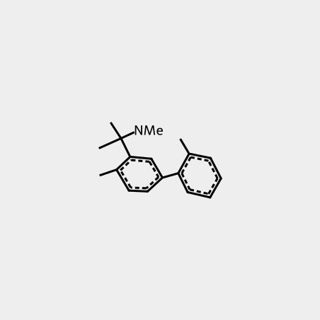 CNC(C)(C)c1cc(-c2ccccc2C)ccc1C